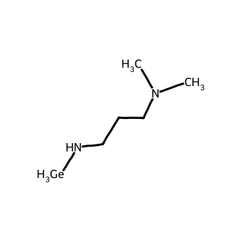 CN(C)CCC[NH][GeH3]